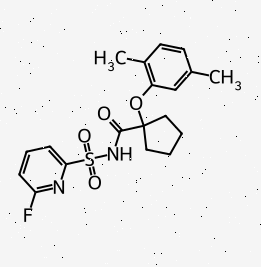 Cc1ccc(C)c(OC2(C(=O)NS(=O)(=O)c3cccc(F)n3)CCCC2)c1